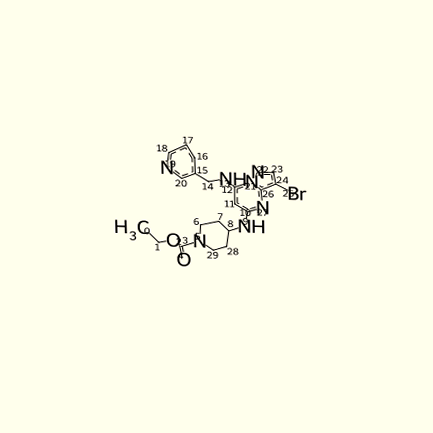 CCOC(=O)N1CCC(Nc2cc(NCc3cccnc3)n3ncc(Br)c3n2)CC1